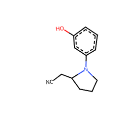 N#CCC1CCCN1c1cccc(O)c1